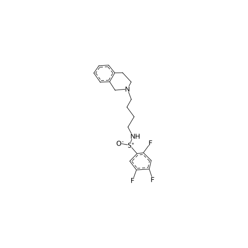 [O-][S+](NCCCCN1CCc2ccccc2C1)c1cc(F)c(F)cc1F